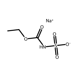 CCOC(=O)NS(=O)(=O)[O-].[Na+]